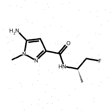 C[C@@H](CF)NC(=O)c1cc(N)n(C)n1